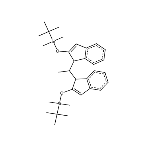 CC(C1C(O[Si](C)(C)C(C)(C)C)=Cc2ccccc21)C1C(O[Si](C)(C)C(C)(C)C)=Cc2ccccc21